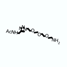 CC(=O)NCc1cn(CCOCCOCCOCCN)nn1